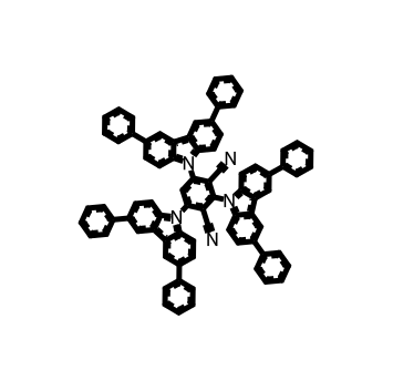 N#Cc1c(-n2c3ccc(-c4ccccc4)cc3c3cc(-c4ccccc4)ccc32)cc(-n2c3ccc(-c4ccccc4)cc3c3cc(-c4ccccc4)ccc32)c(C#N)c1-n1c2ccc(-c3ccccc3)cc2c2cc(-c3ccccc3)ccc21